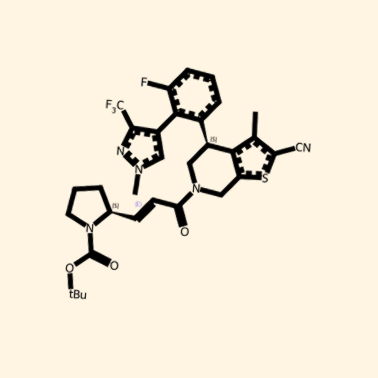 Cc1c(C#N)sc2c1[C@H](c1cccc(F)c1-c1cn(C)nc1C(F)(F)F)CN(C(=O)/C=C/[C@@H]1CCCN1C(=O)OC(C)(C)C)C2